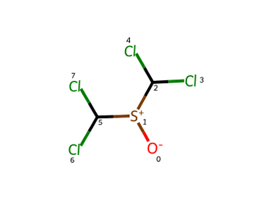 [O-][S+](C(Cl)Cl)C(Cl)Cl